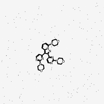 c1cc(N2CCOCC2)n2nc(-c3ccnc(N4CCOCC4)n3)c(-c3ccnc(N4CCOCC4)n3)c2c1